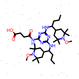 CCCC(Nc1nc(NC(=O)CCC(=O)O)nc(NC(CCC)C2CC(C)(C)N(OC)C(C)(C)C2)n1)C1CC(C)(C)N(OC)C(C)(C)C1